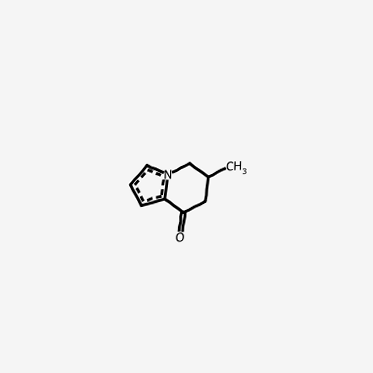 CC1CC(=O)c2cccn2C1